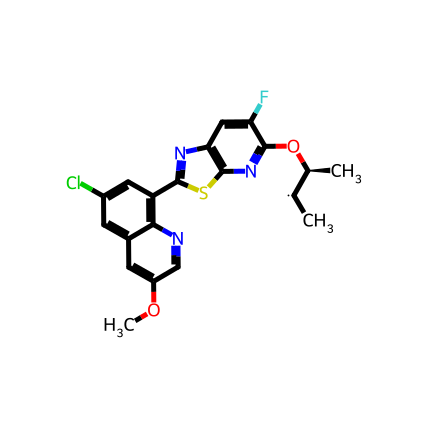 C[CH][C@H](C)Oc1nc2sc(-c3cc(Cl)cc4cc(OC)cnc34)nc2cc1F